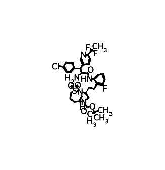 CC(C)(C)OC(=O)N1C[C@H](CCc2c(F)cccc2NC(=O)[C@@H](N)[C@@H](c2ccc(Cl)cc2)c2ccc(C(C)(F)F)nc2)N2C[C@H]1CCCS2(=O)=O